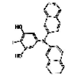 Oc1cc(N(c2ccc3ccccc3c2)c2ccc3ccccc3c2)cc(O)c1I